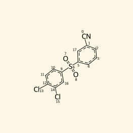 N#Cc1[c]ccc(S(=O)(=O)c2ccc(Cl)c(Cl)c2)c1